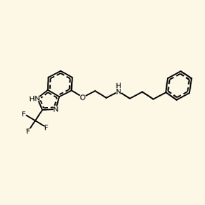 FC(F)(F)c1nc2c(OCCNCCCc3ccccc3)cccc2[nH]1